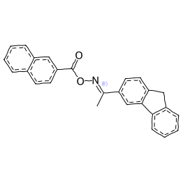 C/C(=N\OC(=O)c1ccc2ccccc2c1)c1ccc2c(c1)-c1ccccc1C2